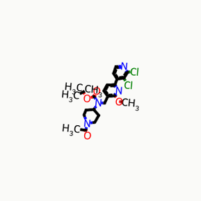 COc1nc(-c2ccnc(Cl)c2Cl)ccc1CN(C(=O)OC(C)(C)C)C1CCN(C(C)=O)CC1